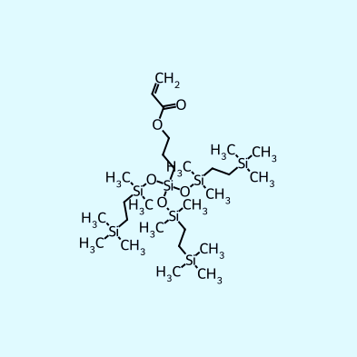 C=CC(=O)OCCC[Si](O[Si](C)(C)CC[Si](C)(C)C)(O[Si](C)(C)CC[Si](C)(C)C)O[Si](C)(C)CC[Si](C)(C)C